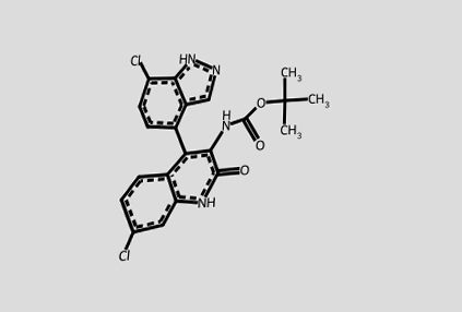 CC(C)(C)OC(=O)Nc1c(-c2ccc(Cl)c3[nH]ncc23)c2ccc(Cl)cc2[nH]c1=O